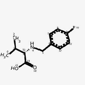 CC(C)[C@H](NCc1ccc(F)cc1)C(=O)O